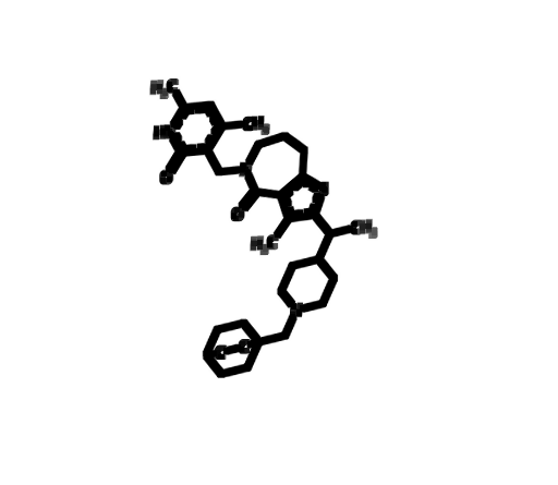 Cc1cc(C)c(CN2CCCc3sc(C(C)C4CCN(CC56CCC(CC5)CC6)CC4)c(C)c3C2=O)c(=O)[nH]1